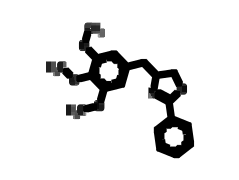 COc1cc(CC2COC(c3ccccc3)=N2)cc(OC)c1OC